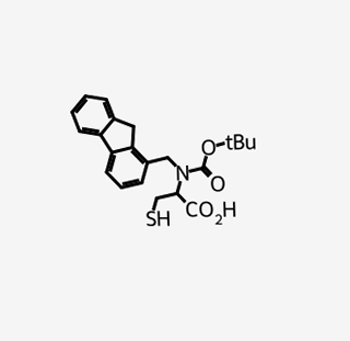 CC(C)(C)OC(=O)N(Cc1cccc2c1Cc1ccccc1-2)C(CS)C(=O)O